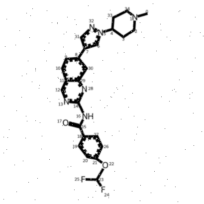 CN1CCC(n2cc(-c3ccc4cnc(NC(=O)c5ccc(OC(F)F)cc5)nc4c3)cn2)CC1